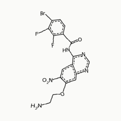 NCCOc1cc2ncnc(NC(=O)c3ccc(Br)c(F)c3F)c2cc1[N+](=O)[O-]